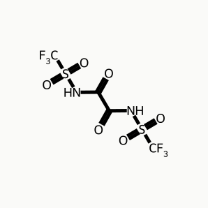 O=C(NS(=O)(=O)C(F)(F)F)C(=O)NS(=O)(=O)C(F)(F)F